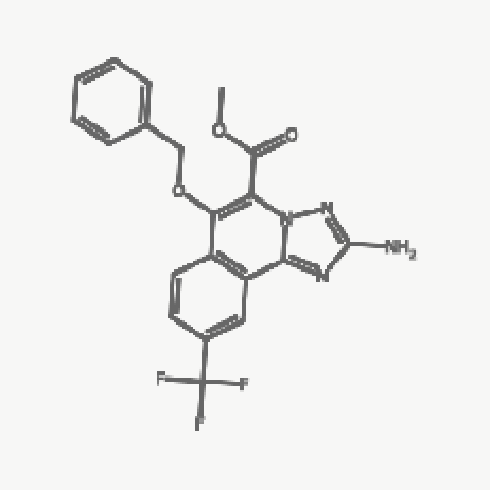 COC(=O)c1c(OCc2ccccc2)c2ccc(C(F)(F)F)cc2c2nc(N)nn12